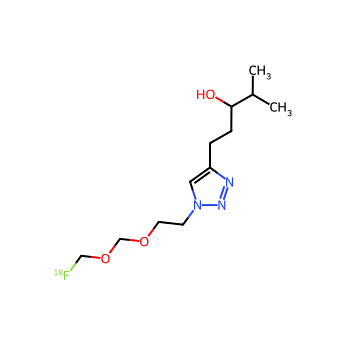 CC(C)C(O)CCc1cn(CCOCOC[18F])nn1